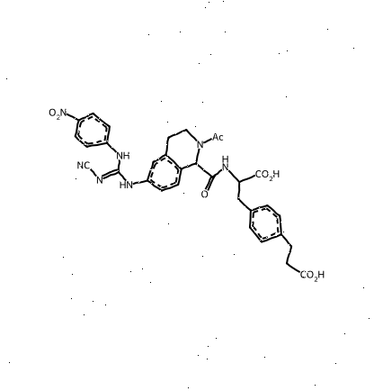 CC(=O)N1CCc2cc(NC(=NC#N)Nc3ccc([N+](=O)[O-])cc3)ccc2C1C(=O)NC(Cc1ccc(CCC(=O)O)cc1)C(=O)O